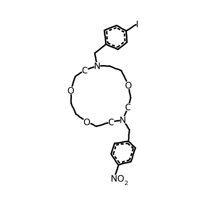 O=[N+]([O-])c1ccc(CN2CCOCCOCCN(Cc3ccc(I)cc3)CCOCC2)cc1